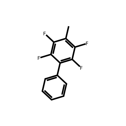 Cc1c(F)c(F)c(-c2ccccc2)c(F)c1F